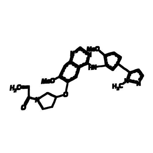 C=CC(=O)N1CCC(Oc2cc3c(Nc4cc(-c5ccnn5C)ccc4OC)ncnc3cc2OC)C1